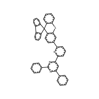 c1ccc(-c2cc(-c3cccc(-c4ccc5c(c4)Sc4ccccc4C54c5ccccc5-c5ccccc54)n3)nc(-c3ccccc3)n2)cc1